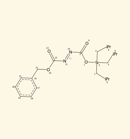 CC(C)C[Si](CC(C)C)(CC(C)C)OC(=O)/N=N/C(=O)OCc1ccccc1